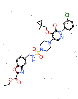 CCOC(=O)c1nc2cc(CNS(=O)(=O)N3CCN(c4cnn(-c5cccc(Cl)c5)c(=O)c4OCC4(C)CC4)CC3)ccc2o1